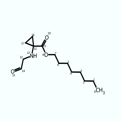 CCCCCCCCOC(=O)C1(NCC=O)CC1